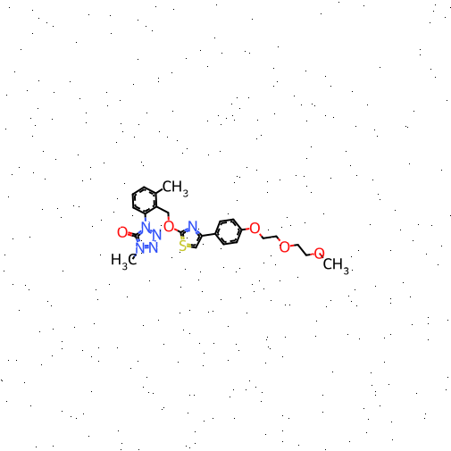 COCCOCCOc1ccc(-c2csc(OCc3c(C)cccc3-n3nnn(C)c3=O)n2)cc1